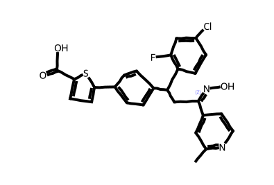 Cc1cc(/C(CC(c2ccc(-c3ccc(C(=O)O)s3)cc2)c2ccc(Cl)cc2F)=N\O)ccn1